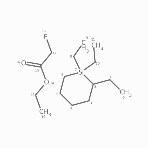 CCC1CCCC[Si]1(CC)CC.CCOC(=O)CF